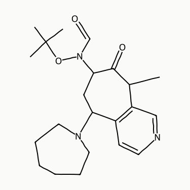 CC1C(=O)C(N(C=O)OC(C)(C)C)CC(N2CCCCCC2)c2ccncc21